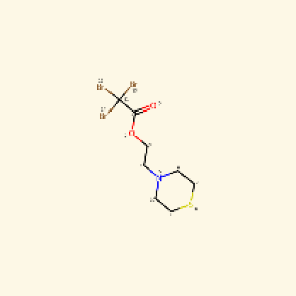 O=C(OCCN1CCSCC1)C(Br)(Br)Br